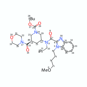 COCCCCn1c(C(=O)N(CC(C)C)C2C[C@@H](C(=O)N3CCOCC3)CN(C(=O)OC(C)(C)C)C2)nc2ccccc21